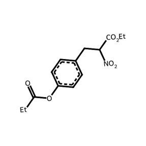 [CH2]CC(=O)Oc1ccc(CC(C(=O)OCC)[N+](=O)[O-])cc1